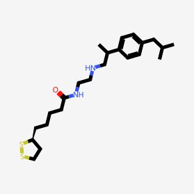 CC(C)Cc1ccc(C(C)CNCCNC(=O)CCCC[C@H]2CCSS2)cc1